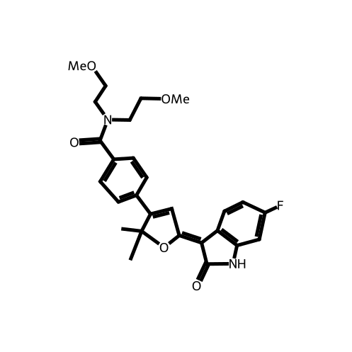 COCCN(CCOC)C(=O)c1ccc(C2=CC(=C3C(=O)Nc4cc(F)ccc43)OC2(C)C)cc1